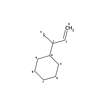 C=CC(I)C1CCCCC1